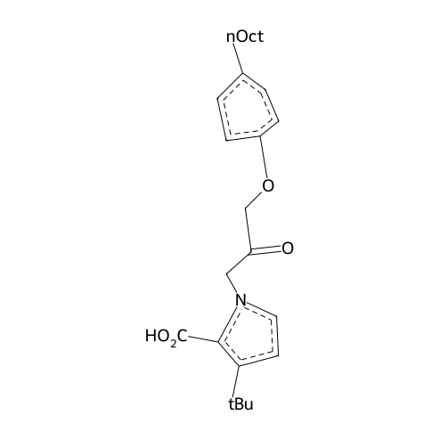 CCCCCCCCc1ccc(OCC(=O)Cn2ccc(C(C)(C)C)c2C(=O)O)cc1